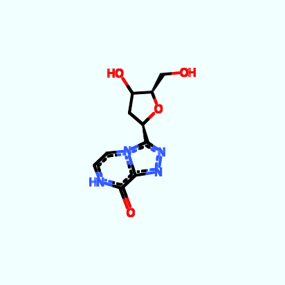 O=c1[nH]ccn2c([C@H]3CC(O)[C@@H](CO)O3)nnc12